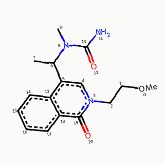 COCCn1cc(C(C)N(C)C(N)=O)c2ccccc2c1=O